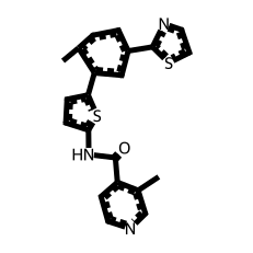 Cc1cnccc1C(=O)Nc1ccc(-c2cc(-c3nccs3)ccc2C)s1